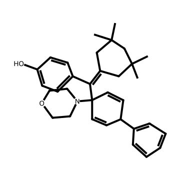 CC1(C)CC(=C(c2ccc(O)cc2)C2(N3CCOCC3)C=CC(c3ccccc3)C=C2)CC(C)(C)C1